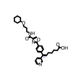 O=C(O)CCCC/C=C(\c1ccc(-c2nc(C(=O)NCCCOC3CCCCC3)co2)cc1)c1cccnc1